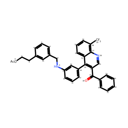 CC(=O)OCCc1cccc(CNc2cccc(-c3c(C(=O)c4ccccc4)cnc4c(C(F)(F)F)cccc34)c2)c1